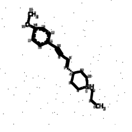 CCC[Si@H]1CC[C@H](/C=C/C#Cc2ccc(OC)cc2)CC1